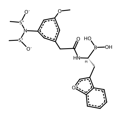 COc1cc(CC(=O)N[C@@H](Cc2coc3ccccc23)B(O)O)cc(N([S+](C)[O-])[S+](C)[O-])c1